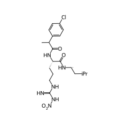 CC(C)C[CH]NC(=O)[C@H](CCCNC(=N)N[N+](=O)[O-])NC(=O)C(C)c1ccc(Cl)cc1